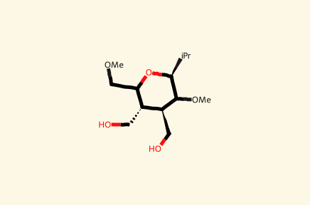 COCC1O[C@@H](C(C)C)C(OC)[C@@H](CO)[C@@H]1CO